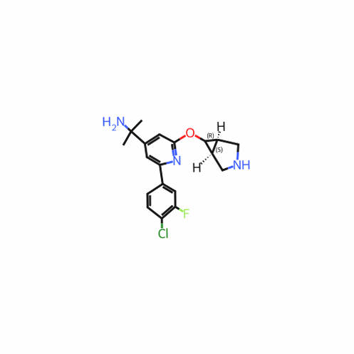 CC(C)(N)c1cc(OC2[C@H]3CNC[C@@H]23)nc(-c2ccc(Cl)c(F)c2)c1